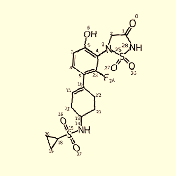 O=C1CN(c2c(O)ccc(C3=CCC(NS(=O)(=O)C4CC4)CC3)c2F)S(=O)(=O)N1